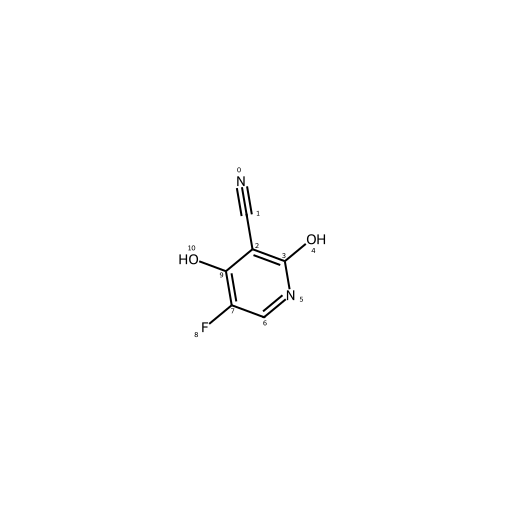 N#Cc1c(O)ncc(F)c1O